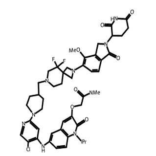 CNC(=O)COc1cc2cc(Nc3cc(N4CCC(CN5CCC6(CN(c7ccc8c(c7OC)CN(C7CCC(=O)NC7=O)C8=O)C6)C(F)(F)C5)CC4)ncc3Cl)ccc2n(C(C)C)c1=O